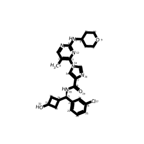 Cc1cnc(NC2CCOCC2)nc1-n1cnc(C(=O)N[C@@H](c2cccc(Cl)c2)C2CC(O)C2)c1